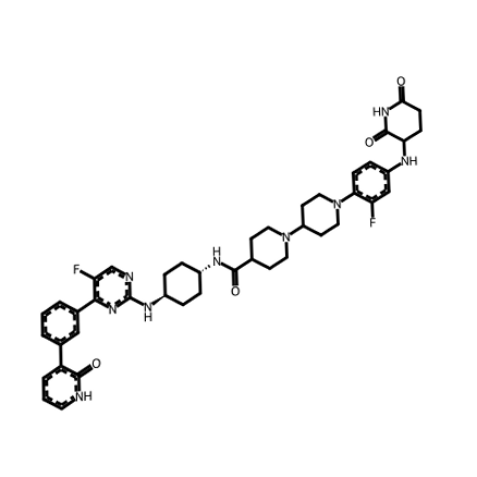 O=C1CCC(Nc2ccc(N3CCC(N4CCC(C(=O)N[C@H]5CC[C@H](Nc6ncc(F)c(-c7cccc(-c8ccc[nH]c8=O)c7)n6)CC5)CC4)CC3)c(F)c2)C(=O)N1